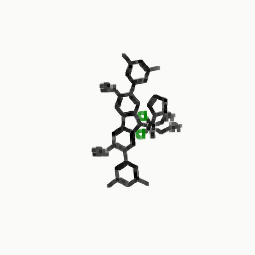 [CH2]=[Zr]([Cl])([Cl])([CH2]C(C)C)([CH2]C(C)C)([CH]1C=CC=C1)[CH]1c2cc(-c3cc(C)cc(C)c3)c(C(C)(C)C)cc2-c2cc(C(C)(C)C)c(-c3cc(C)cc(C)c3)cc21